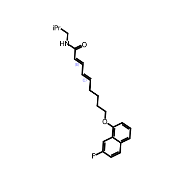 CC(C)CNC(=O)/C=C/C=C/CCCCOc1cccc2ccc(F)cc12